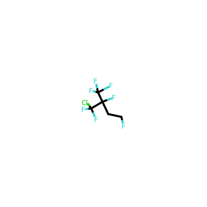 FCCC(F)(C(F)(F)F)C(F)(F)Cl